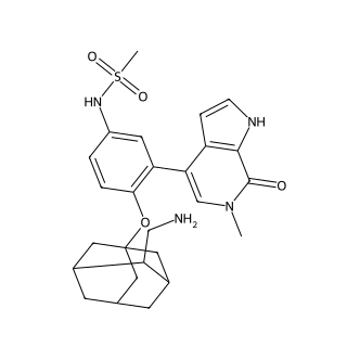 Cn1cc(-c2cc(NS(C)(=O)=O)ccc2OC23CC4CC(C2)C(CN)C(C4)C3)c2cc[nH]c2c1=O